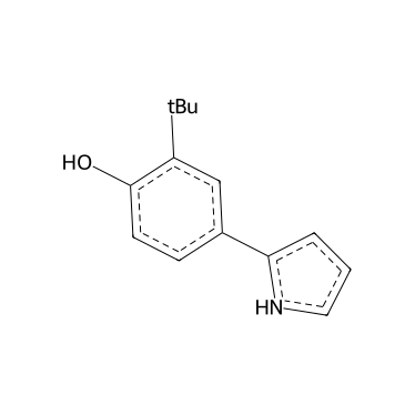 CC(C)(C)c1cc(-c2ccc[nH]2)ccc1O